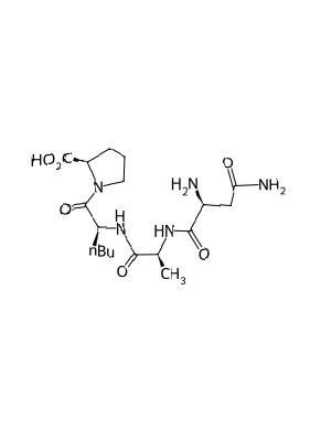 CCCC[C@H](NC(=O)[C@H](C)NC(=O)[C@@H](N)CC(N)=O)C(=O)N1CCC[C@@H]1C(=O)O